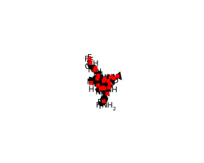 COc1cc(-c2nc(Nc3cc(Cc4c(Nc5nc(-c6ccc(C(N)C(F)(F)F)cc6)nn5C)ccc5[nH]ncc45)c4[nH]ncc4c3Cc3cc(Nc4nc(-c5ccc(C(=O)NCC(F)(F)F)nc5)nn4C)c(C)c4cn[nH]c34)n(C)n2)cnc1C(=O)NC1CC1